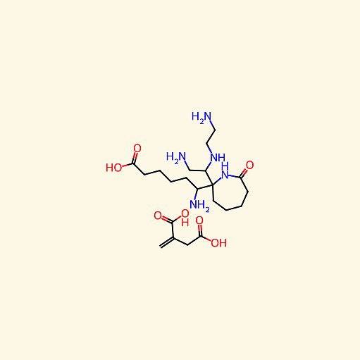 C=C(CC(=O)O)C(=O)O.NCCNC(CN)C1(C(N)CCCCC(=O)O)CCCCC(=O)N1